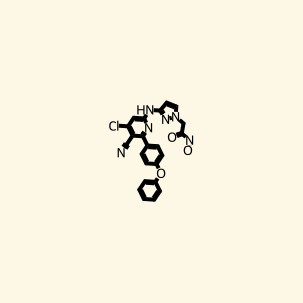 N#Cc1c(Cl)cc(Nc2ccn(CC(=O)N=O)n2)nc1-c1ccc(Oc2ccccc2)cc1